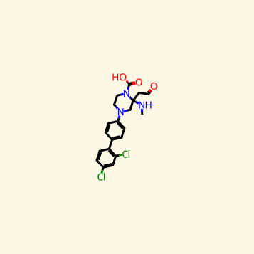 CNC1(CC=O)CN(c2ccc(-c3ccc(Cl)cc3Cl)cc2)CCN1C(=O)O